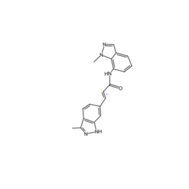 Cc1n[nH]c2cc(/C=C/C(=O)Nc3cccc4cnn(C)c34)ccc12